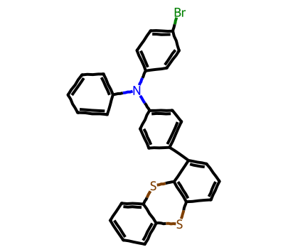 Brc1ccc(N(c2ccccc2)c2ccc(-c3cccc4c3Sc3ccccc3S4)cc2)cc1